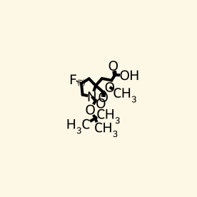 COC(=O)C1(CCC(=O)O)C[C@@H](F)CN1C(=O)OC(C)(C)C